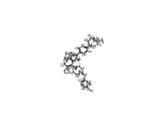 Cc1nc(CN2CCN(c3c(Cl)cnc4[nH]c(-c5ccc(N6CCNCC6)cc5)nc34)CC2)cs1